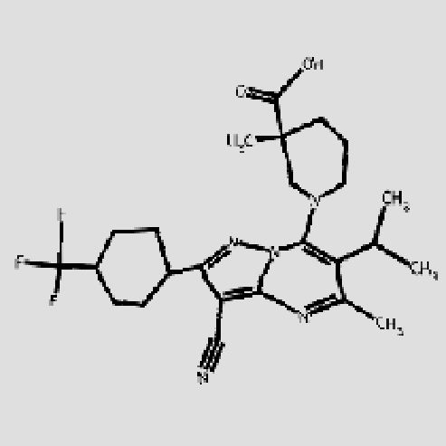 Cc1nc2c(C#N)c(C3CCC(C(F)(F)F)CC3)nn2c(N2CCC[C@@](C)(C(=O)O)C2)c1C(C)C